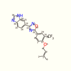 CC(C)=CCOc1ccc(-c2nc(-c3ccc4nc[nH]c4c3)no2)cc1C(F)(F)F